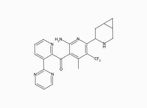 Cc1c(C(=O)c2ncccc2-c2ncccn2)c(N)nc(C2CC3CC3CN2)c1C(F)(F)F